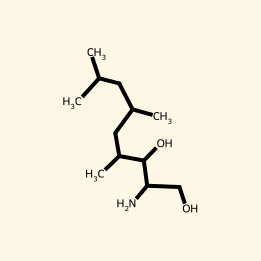 CC(C)CC(C)CC(C)C(O)C(N)CO